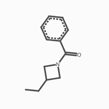 CCC1CN(C(=O)c2ccccc2)C1